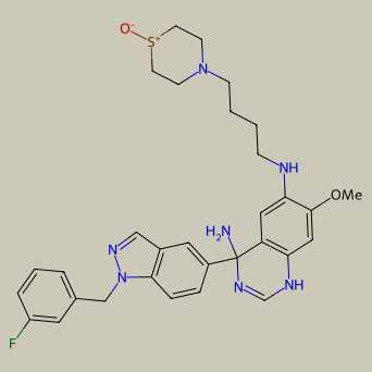 COc1cc2c(cc1NCCCCN1CC[S+]([O-])CC1)C(N)(c1ccc3c(cnn3Cc3cccc(F)c3)c1)N=CN2